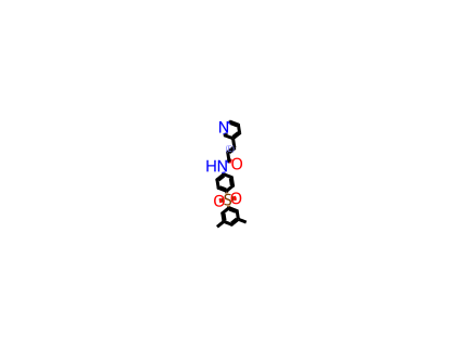 Cc1cc(C)cc(S(=O)(=O)c2ccc(NC(=O)/C=C/c3cccnc3)cc2)c1